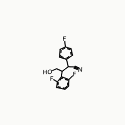 N#CC(c1ccc(F)cc1)C(CO)c1c(F)cccc1F